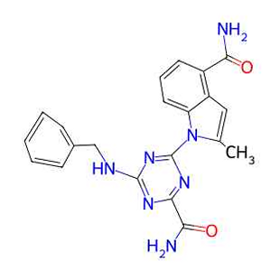 Cc1cc2c(C(N)=O)cccc2n1-c1nc(NCc2ccccc2)nc(C(N)=O)n1